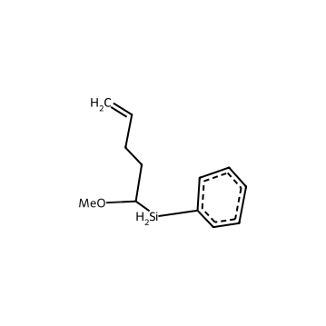 C=CCCC(OC)[SiH2]c1ccccc1